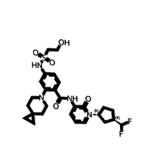 O=C(Nc1cccn([C@@H]2CC[C@@H](C(F)F)C2)c1=O)c1ccc(NS(=O)(=O)CCO)cc1N1CCC2(CC1)CC2